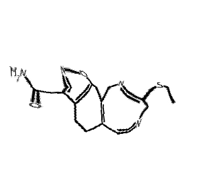 CSc1ncc2c(n1)-c1onc(C(N)=O)c1CC2